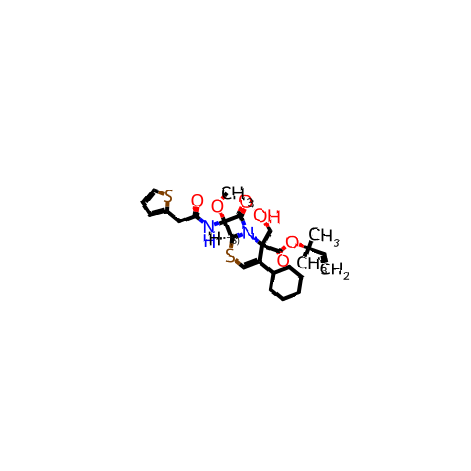 C=CC(C)(C)OC(=O)C1(CO)C(C2CCCCC2)=CS[C@@H]2N1C(=O)C2(NC(=O)Cc1cccs1)OC